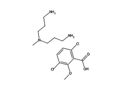 CN(CCCN)CCCN.COc1c(Cl)ccc(Cl)c1C(=O)O